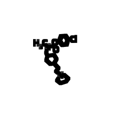 CN(CC1CCC(CCN2CCCCC2)CC1)C(=O)Oc1ccc(Cl)cc1